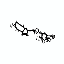 CC(=O)N1CCc2cc(-c3nnc(C4C=C(C(C)(C)C)ON4)o3)ccc2C1